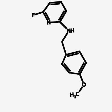 COc1ccc(CNc2cccc(F)n2)cc1